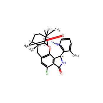 COc1ccccc1[C@H]1NC(=O)c2c(Cl)cc3c(c21)O[C@@]12C[C@@H](N)C(=O)C(C)(C)[C@@H]1CC[C@H](C)[C@@]2(C)C3